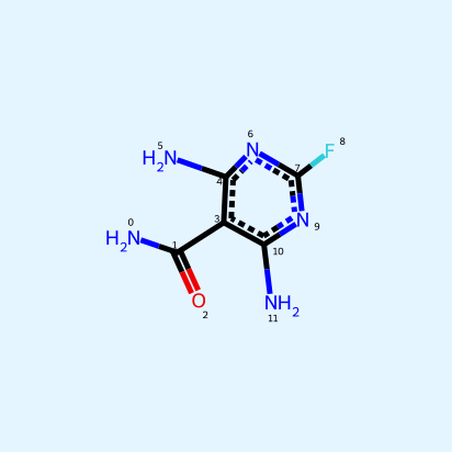 NC(=O)c1c(N)nc(F)nc1N